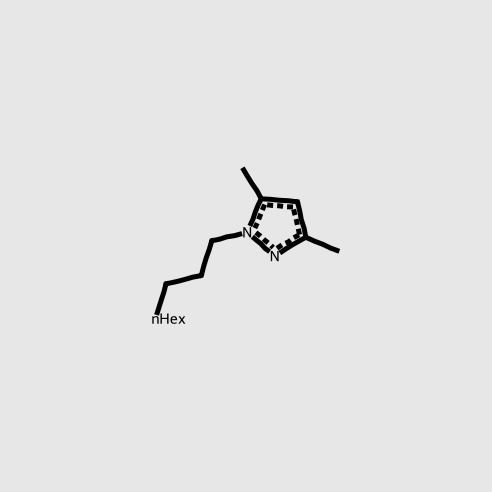 CCCCCCCCCn1nc(C)cc1C